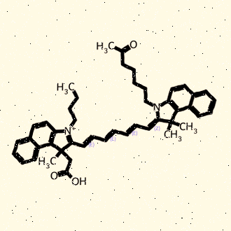 CCCC[N+]1=C(/C=C/C=C/C=C/C=C2\N(CCCCCC(C)=O)c3ccc4ccccc4c3C2(C)C)C(C)(CC(=O)O)c2c1ccc1ccccc21